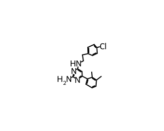 Cc1cccc(-c2cc(NCCc3ccc(Cl)cc3)nc(N)n2)c1C